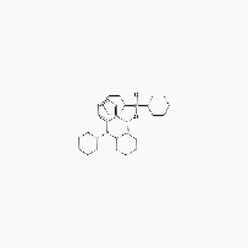 C[C@@H](OP(=O)(C1CCCCC1)C1CCCCC1)c1ccccc1P(C1CCCCC1)C1CCCCC1